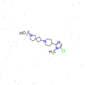 Cn1c(Cl)cnc1C1CCN(C2CC3(CCN(C(=O)O)C3)C2)CC1